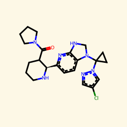 O=C(C1CCCN[C@@H]1c1ccc2c(n1)NCN2C1(n2cc(Cl)cn2)CC1)N1CCCC1